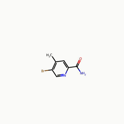 Cc1cc(C(N)=O)ncc1Br